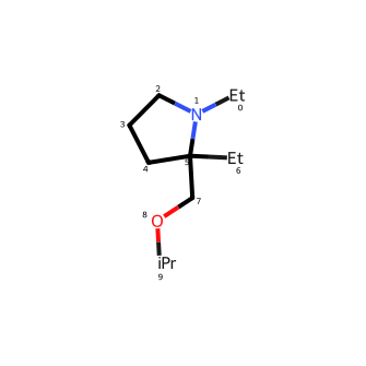 CCN1CCCC1(CC)COC(C)C